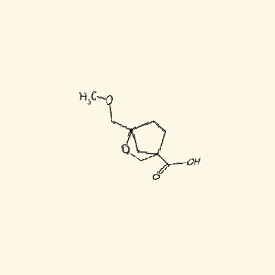 COCC12CCC(C(=O)O)(CO1)C2